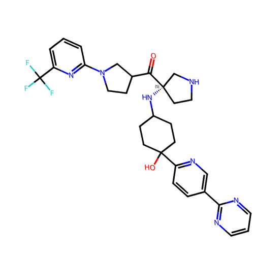 O=C(C1CCN(c2cccc(C(F)(F)F)n2)C1)[C@]1(NC2CCC(O)(c3ccc(-c4ncccn4)cn3)CC2)CCNC1